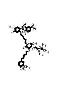 Cc1ccc(CCCCCO[C@@H](C(=O)NCCCCCN(c2ccc(C)c(Cl)c2)S(=O)(=O)c2ccc([N+](=O)[O-])cc2[N+](=O)[O-])[C@@H](OCC(=O)OC(C)(C)C)C(=O)O)cc1C